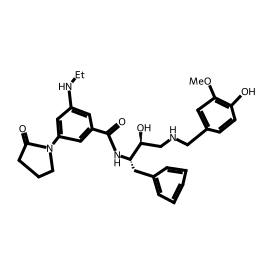 CCNc1cc(C(=O)N[C@@H](Cc2ccccc2)[C@@H](O)CNCc2ccc(O)c(OC)c2)cc(N2CCCC2=O)c1